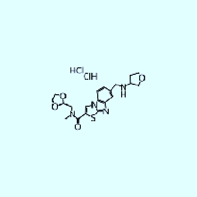 CN(CC1OCCO1)C(=O)c1cn2c(nc3cc(CNC4CCOC4)ccc32)s1.Cl.Cl